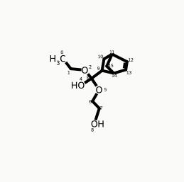 CCOC(O)(OCCO)C1CC2C=CC1C2